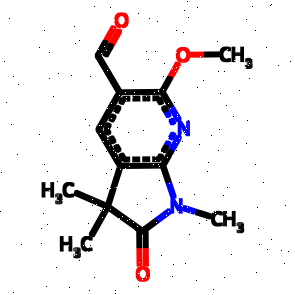 COc1nc2c(cc1C=O)C(C)(C)C(=O)N2C